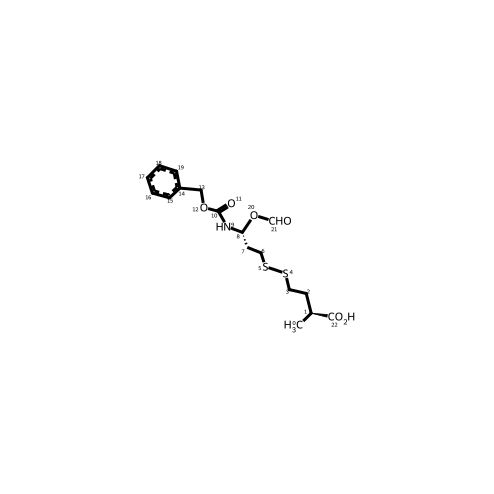 C[C@@H](CCSSCC[C@H](NC(=O)OCc1ccccc1)OC=O)C(=O)O